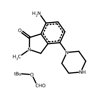 CC(C)(C)OC=O.CN1Cc2c(N3CCNCC3)ccc(N)c2C1=O